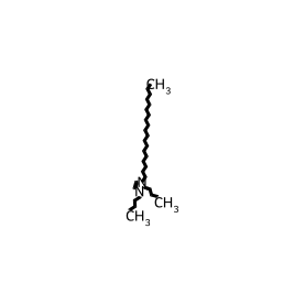 CCCCCCCCCCCCCCCCCCCn1cc[n+](CCCCC)c1CCCC